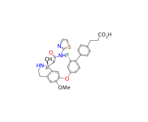 COc1cc2c(cc1Oc1ccc(-c3ccc(CCC(=O)O)cc3)c(F)c1)[C@@](C)(CC(=O)Nc1nccs1)NCC2